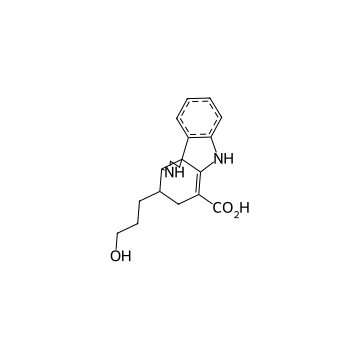 O=C(O)C1=C2Nc3ccccc3C23CCNC3C(CCCO)C1